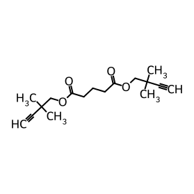 C#CC(C)(C)COC(=O)CCCC(=O)OCC(C)(C)C#C